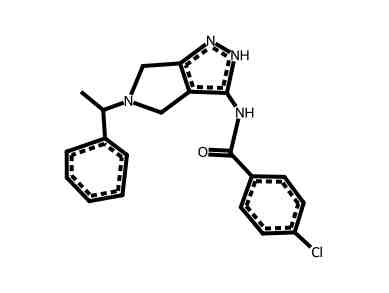 CC(c1ccccc1)N1Cc2n[nH]c(NC(=O)c3ccc(Cl)cc3)c2C1